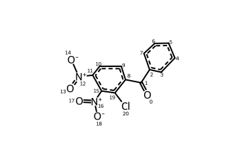 O=C(c1ccccc1)c1ccc([N+](=O)[O-])c([N+](=O)[O-])c1Cl